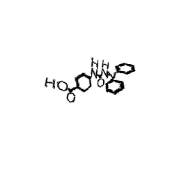 O=C(NC1CCC(C(=O)O)CC1)NN(c1ccccc1)c1ccccc1